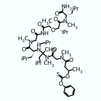 CC(C)C[C@@H](NC(C=O)(CC(C)C)N(C)C(=O)CN(C)C(=O)CC(C)OC(=S)Oc1ccccc1)C(=O)N(C)[C@@H](CC(C)C)C(=O)NC(=O)[C@H](C)O[C@H](C(=O)N(C)[C@@H](CC(C)C)C(N)=O)C(C)C